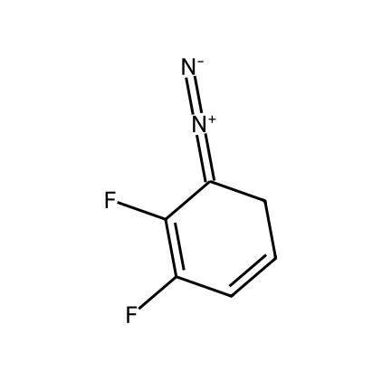 [N-]=[N+]=C1CC=CC(F)=C1F